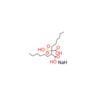 CCCCCCC(C(=O)O)C(CCCCCC)(C(=O)O)S(=O)(=O)O.[NaH]